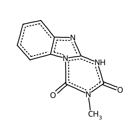 Cn1c(=O)[nH]c2nc3ccccc3n2c1=O